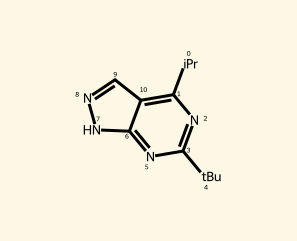 CC(C)c1nc(C(C)(C)C)nc2[nH]ncc12